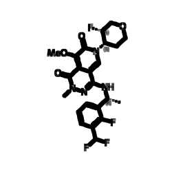 COc1c(=O)n([C@H]2CCOC[C@H]2F)cc2c(N[C@H](C)c3cccc(C(F)F)c3F)nn(C)c(=O)c12